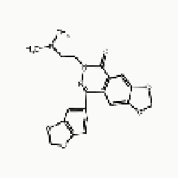 CN(C)CCn1nc(-c2ccc3c(c2)OCO3)c2cc3c(cc2c1=O)OCO3